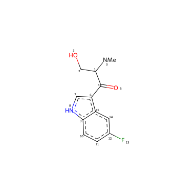 CNC(CO)C(=O)c1c[nH]c2ccc(F)cc12